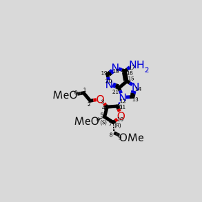 COCCOC1[C@@H](OC)[C@@H](COC)O[C@H]1n1cnc2c(N)ncnc21